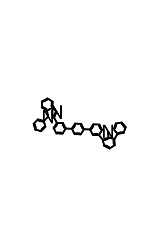 c1ccc(-n2c(-c3cccc(-c4ccc(-c5ccc6c(c5)c5cccc7c8ccccc8n6c75)cc4)c3)nc3ccccc32)cc1